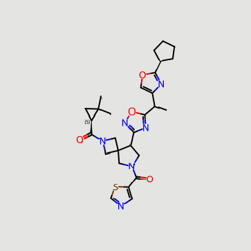 CC(c1coc(C2CCCC2)n1)c1nc(C2CN(C(=O)c3cncs3)CC23CN(C(=O)[C@H]2CC2(C)C)C3)no1